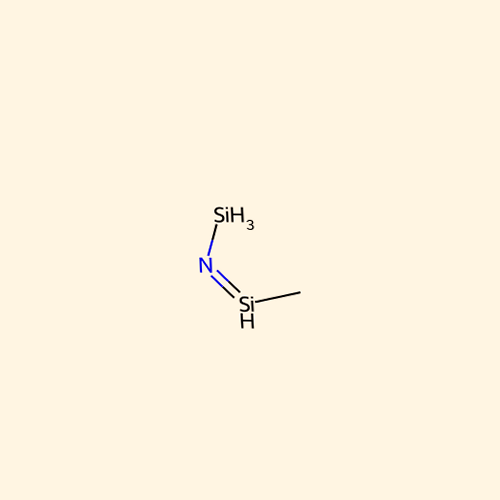 C/[SiH]=N\[SiH3]